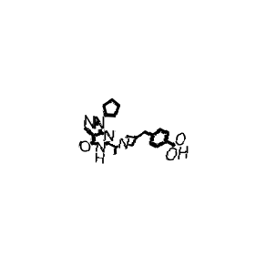 CC(c1nc2c(cnn2C2CCCC2)c(=O)[nH]1)N1CC(Cc2ccc(C(=O)O)cc2)C1